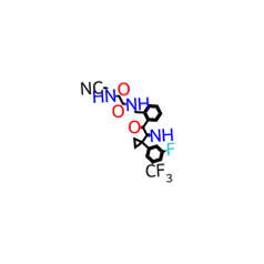 N#CCNC(=O)C(=O)NCc1ccccc1C(=O)C(=N)C1(c2cc(F)cc(C(F)(F)F)c2)CC1